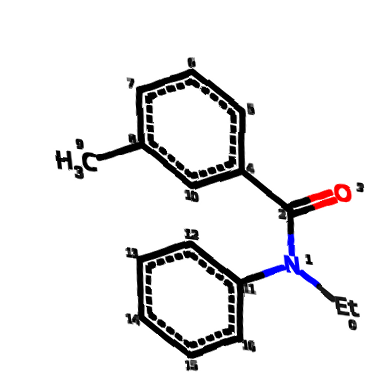 CCN(C(=O)c1cccc(C)c1)c1ccccc1